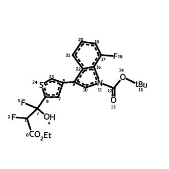 CCOC(=O)C(F)C(O)(F)c1cc(-c2cn(C(=O)OC(C)(C)C)c3c(F)cccc23)cs1